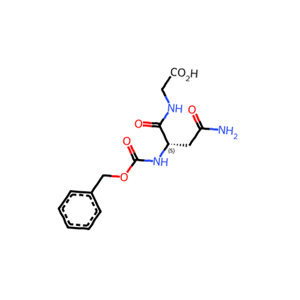 NC(=O)C[C@H](NC(=O)OCc1ccccc1)C(=O)NCC(=O)O